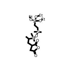 CCO[Si](CC[Si](C)(C)O[Si](C)(C)C(C)CC1CC(=O)OC1=O)(OCC)OCC